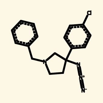 [N-]=[N+]=NC1(c2ccc(Cl)cc2)CCN(Cc2ccccc2)C1